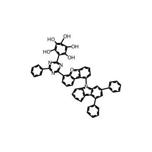 Oc1c(O)c(O)c(-c2nc(-c3ccccc3)nc(-c3cccc4c3oc3cccc(-n5c6ccccc6c6c(-c7ccccc7)cc(-c7ccccc7)cc65)c34)n2)c(O)c1O